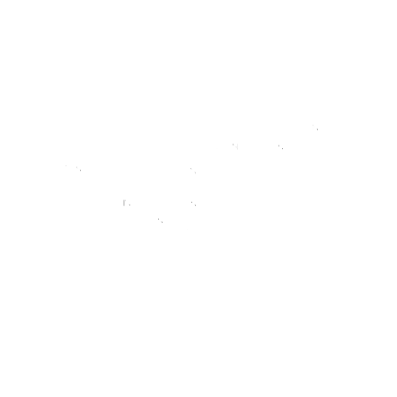 CC(=O)NCCNc1cc(NC(=O)C(=O)N2CCN(c3ccccn3)CC2)nc(-c2ccccc2)n1